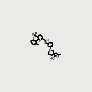 CCCC1(C(=O)O)CCCN(c2cccc(SNc3ccc(C(F)(F)F)c(-c4ccccc4C)n3)n2)C1